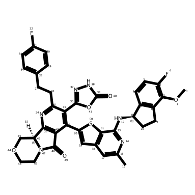 COc1c(F)ccc2c1CC[C@H]2Nc1nc(C)cc2cc(-c3c4c(nc(CCc5ccc(F)cc5)c3-c3n[nH]c(=O)o3)[C@@H]3COCCN3C4=O)sc12